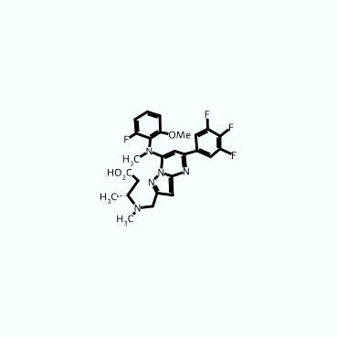 COc1cccc(F)c1N(C)c1cc(-c2cc(F)c(F)c(F)c2)nc2cc(CN(C)[C@H](C)CC(=O)O)nn12